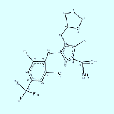 Cc1c(CC2CCCO2)c(Oc2c(F)cc(C(F)(F)F)cc2Cl)nn1C(N)=O